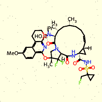 COc1ccc2c(O[C@]3(C)CN4C(=O)[C@@H](N(C(=O)O)C(C)C)[C@H](C)C[C@H](C)CC/C=C\[C@@H]5C[C@@]5(C(=O)NS(=O)(=O)C5(CF)CC5)NC(=O)[C@H]4C3(F)F)nc3c(c2c1)CCCO3